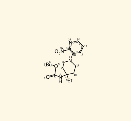 CCC1(NC(=O)OC(C)(C)C)CCN(c2cccnc2[N+](=O)[O-])CC1